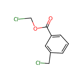 O=C(OCCl)c1cccc(CCl)c1